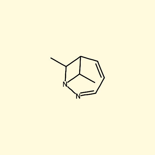 CC1C2C=CC=NN1C2C